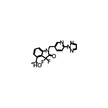 C[C@H](O)c1cccc2c1C(F)(F)C(=O)N2Cc1ccc(-n2nccn2)nc1